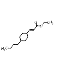 CCCCC1CCC(/C=C/C(=O)OCC)CC1